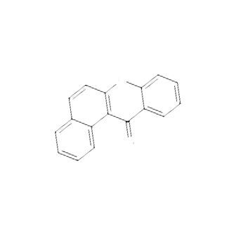 O=c1c2ccccc2oc2ccc3ccccc3c12